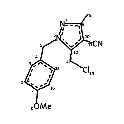 COc1ccc(Cn2nc(C)c(C#N)c2CCl)cc1